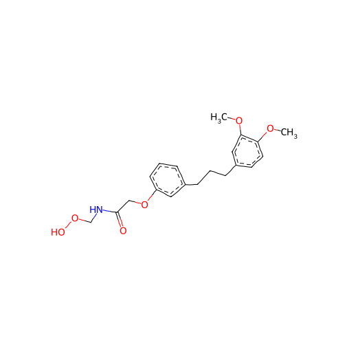 COc1ccc(CCCc2cccc(OCC(=O)NCOO)c2)cc1OC